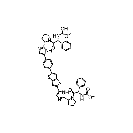 COC(=O)N[C@@H](C(=O)N1CCC[C@H]1c1ncc(-c2cc3sc(-c4ccc(-c5cnc([C@@H]6CCCN6C(=O)[C@H](NC(O)OC)c6ccccc6)[nH]5)cc4)cc3s2)[nH]1)c1ccccc1